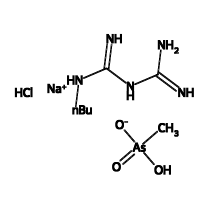 CCCCNC(=N)NC(=N)N.C[As](=O)([O-])O.Cl.[Na+]